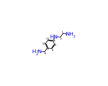 NCCNc1ccc(CN)cc1